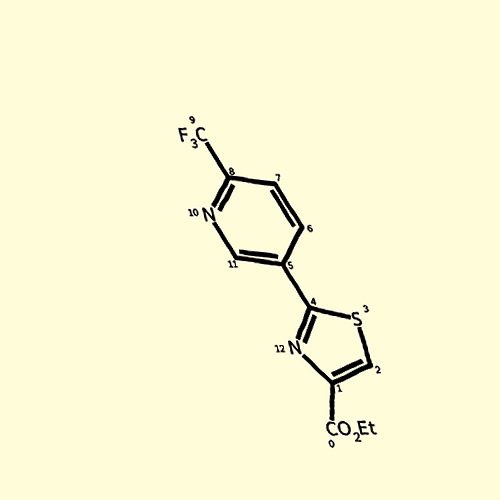 CCOC(=O)c1csc(-c2ccc(C(F)(F)F)nc2)n1